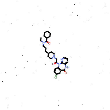 CCN(CCCC1CCN(CC(=O)N2c3ccc(Cl)cc3C(=O)Nc3cccnc32)CC1)C(=O)C1CCCCC1